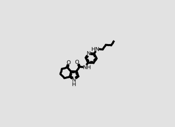 CCCCNc1ccc(NC(=O)c2c[nH]c3c2C(=O)CCC3)cn1